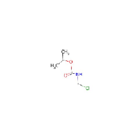 CC(C)OC(=O)NCCl